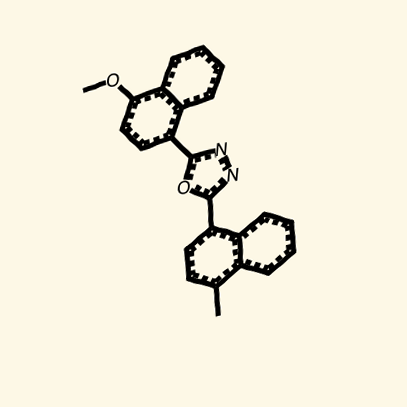 COc1ccc(-c2nnc(-c3ccc(C)c4ccccc34)o2)c2ccccc12